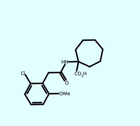 COc1cccc(Cl)c1CC(=O)NC1(C(=O)O)CCCCCC1